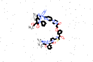 CNC(C)C(=O)N[C@H](C(=O)N1CCCC1c1nc(C(=O)c2cccc(OCCC(=O)N3CCN(c4ccc(Nc5ncc6c(C)c(C(C)=O)c(=O)n(C7CCCC7)c6n5)nc4)CC3)c2)cs1)C1CCCCC1